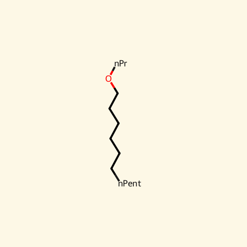 [CH2]CCCCCCCCCCOCC[CH2]